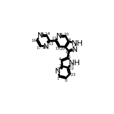 c1cnc2cc(-c3n[nH]c4cnc(-c5cnccn5)cc34)[nH]c2c1